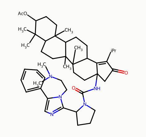 CC(=O)OC1CCC2(C)C(CCC3(C)C2CCC2C4=C(C(C)C)C(=O)CC4(NC(=O)N4CCCC4c4ncc(-c5ccccc5)n4CCN(C)C)CCC23C)C1(C)C